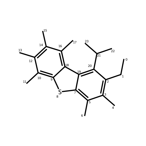 CCc1c(C)c(C)c2sc3c(C)c(C)c(C)c(C)c3c2c1C(C)C